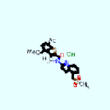 COCc1ccc(C(C)=O)c2sc(C(=O)Nc3ccc4c(CS(C)(=O)=O)cccc4n3)c(C)c12.Cl